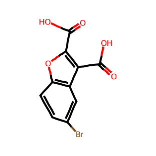 O=C(O)c1oc2ccc(Br)cc2c1C(=O)O